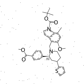 COC(=O)c1ccc([C@@H]2CC(c3cccs3)CCN2Cc2c(OC)cc(C)c3c2ccn3C(=O)OC(C)(C)C)cc1